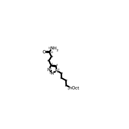 CCCCCCCCCCCCn1cc(CCC(N)=O)nn1